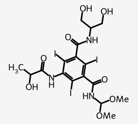 COC(NC(=O)c1c(I)c(NC(=O)C(C)O)c(I)c(C(=O)NC(CO)CO)c1I)OC